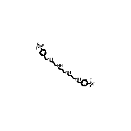 FS(F)(F)c1ccc(CNCCCNCCCNCCCNCc2ccc(S(F)(F)F)cc2)cc1